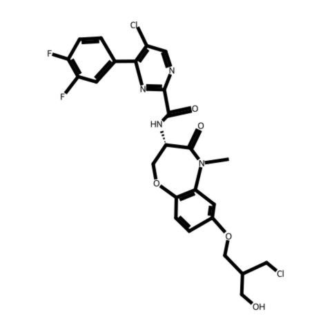 CN1C(=O)[C@@H](NC(=O)c2ncc(Cl)c(-c3ccc(F)c(F)c3)n2)COc2ccc(OCC(CO)CCl)cc21